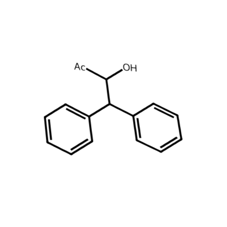 CC(=O)C(O)C(c1ccccc1)c1ccccc1